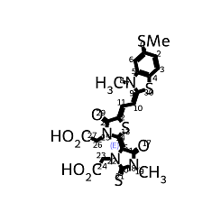 CSc1ccc2c(c1)N(C)C(=CC=c1s/c(=C3\C(=O)N(C)C(=S)N3CC(=O)O)n(CC(=O)O)c1=O)S2